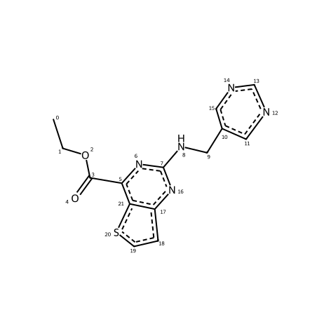 CCOC(=O)c1nc(NCc2cncnc2)nc2ccsc12